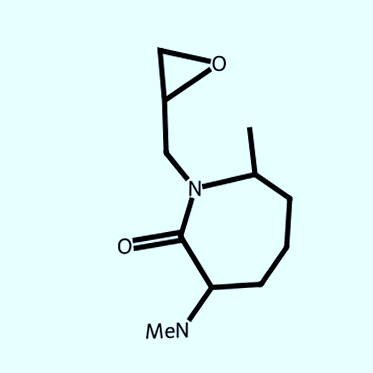 CNC1CCCC(C)N(CC2CO2)C1=O